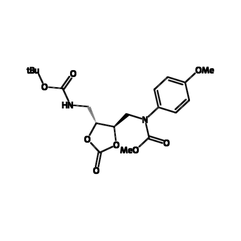 COC(=O)N(C[C@H]1OC(=O)O[C@@H]1CNC(=O)OC(C)(C)C)c1ccc(OC)cc1